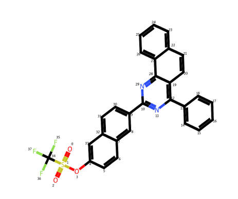 O=S(=O)(Oc1ccc2cc(-c3nc(-c4ccccc4)c4ccc5ccccc5c4n3)ccc2c1)C(F)(F)F